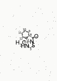 CC12NCSN1C(=O)c1ccccc12